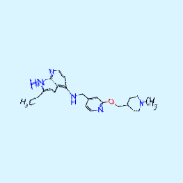 Cc1cc2c(NCc3ccnc(OCC4CCN(C)CC4)c3)ccnc2[nH]1